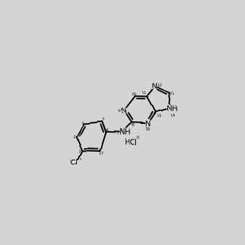 Cl.Clc1cccc(Nc2ncc3nc[nH]c3n2)c1